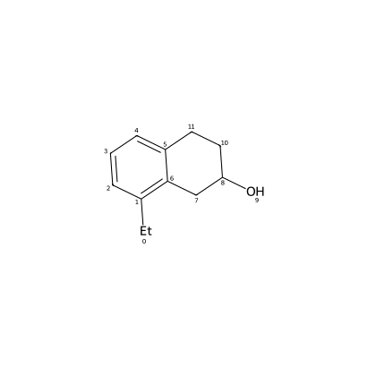 [CH2]Cc1cccc2c1CC(O)CC2